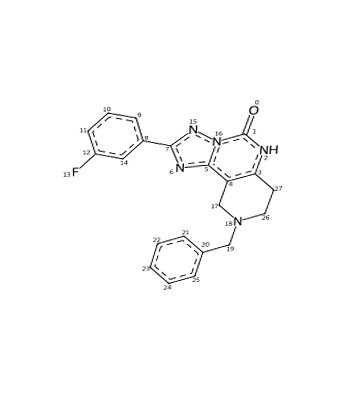 O=c1[nH]c2c(c3nc(-c4cccc(F)c4)nn13)CN(Cc1ccccc1)CC2